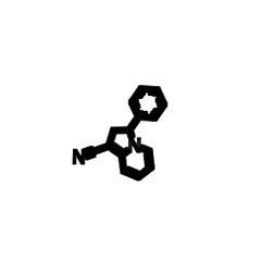 N#CC1=C2C=CC=CN2C(c2ccccc2)C1